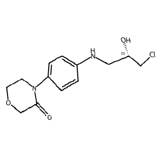 O=C1COCCN1c1ccc(NC[C@H](O)CCl)cc1